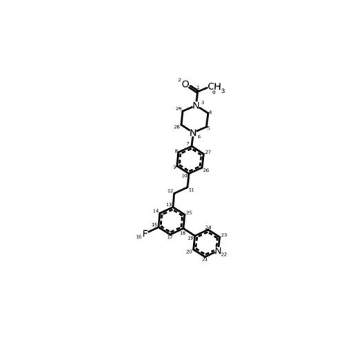 CC(=O)N1CCN(c2ccc(CCc3cc(F)cc(-c4ccncc4)c3)cc2)CC1